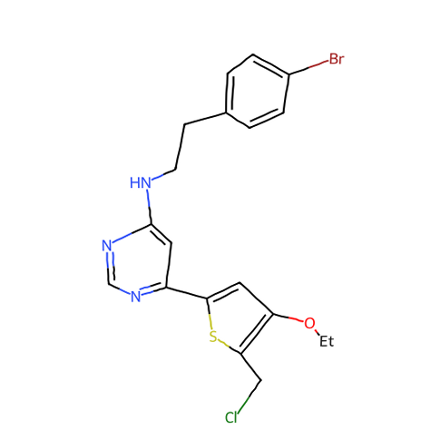 CCOc1cc(-c2cc(NCCc3ccc(Br)cc3)ncn2)sc1CCl